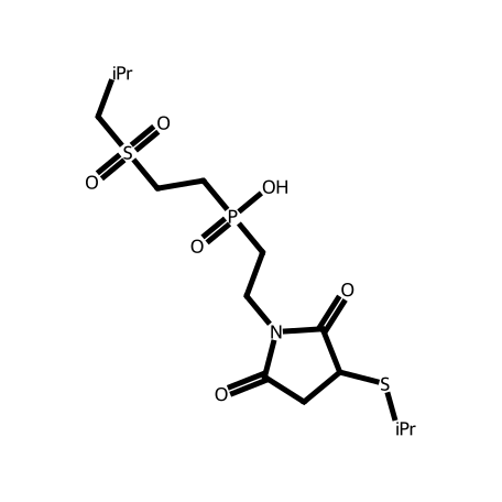 CC(C)CS(=O)(=O)CCP(=O)(O)CCN1C(=O)CC(SC(C)C)C1=O